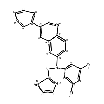 CCc1cc(CC)cc(N(Cc2ncc[nH]2)c2ccc3ncc(-c4cccnc4)cc3n2)c1